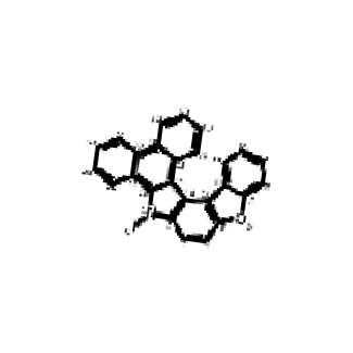 In1c2ccc3oc4ccccc4c3c2c2c3ccccc3c3ccccc3c21